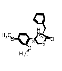 COc1ccc([C@@H]2CSC(=O)[C@H](Cc3ccccc3)N2)c(OC)c1